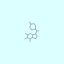 CC1CCC(C(C)C2CCC3C(C)C(C)C(C)CC23)CC1